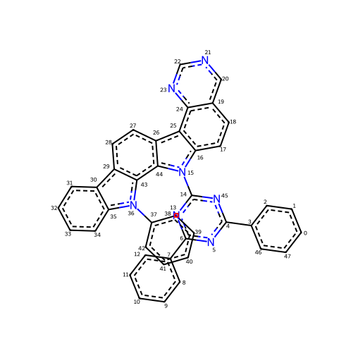 c1ccc(-c2nc(-c3ccccc3)nc(-n3c4ccc5cncnc5c4c4ccc5c6ccccc6n(-c6ccccc6)c5c43)n2)cc1